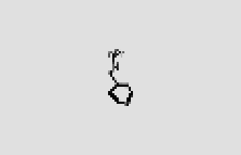 CCCN=Cc1ccccc1